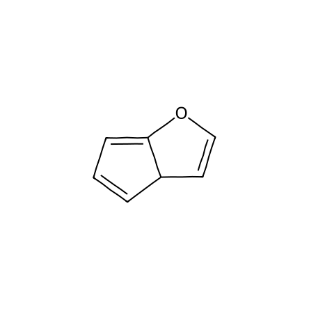 C1=CC2C=COC2=C1